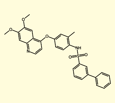 COc1cc2nccc(Oc3ccc(NS(=O)(=O)c4cccc(-c5ccccc5)c4)c(C)c3)c2cc1OC